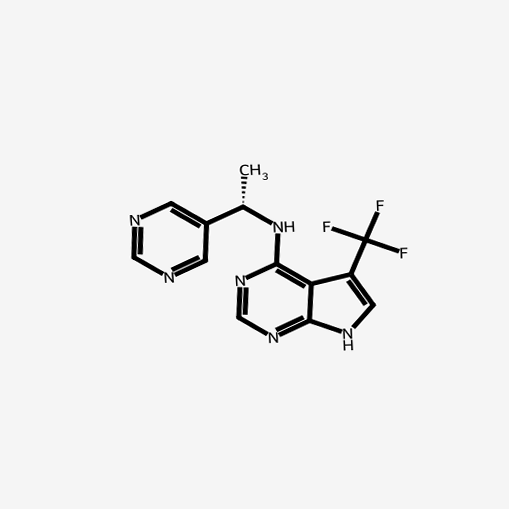 C[C@H](Nc1ncnc2[nH]cc(C(F)(F)F)c12)c1cncnc1